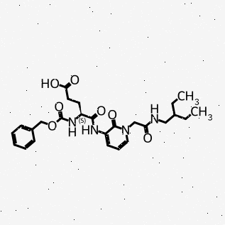 CCC(CC)CNC(=O)Cn1cccc(NC(=O)[C@H](CCC(=O)O)NC(=O)OCc2ccccc2)c1=O